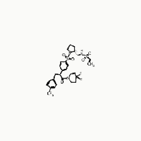 C=CS(=O)(=O)NC[C@H]1CCCN1S(=O)(=O)c1ccc(C(Cc2ccc(C(F)(F)F)cc2)C(=O)N2CCC(F)(F)CC2)cc1